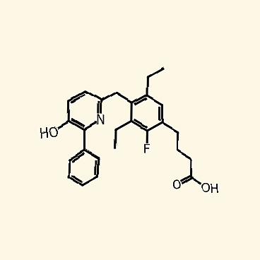 CCc1cc(CCCC(=O)O)c(F)c(CC)c1Cc1ccc(O)c(-c2ccccc2)n1